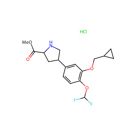 COC(=O)C1CC(c2ccc(OC(F)F)c(OCC3CC3)c2)CN1.Cl